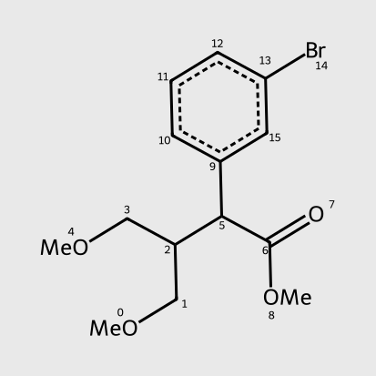 COCC(COC)C(C(=O)OC)c1cccc(Br)c1